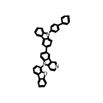 c1ccc(-c2ccc(-n3c4ccccc4c4cc(-c5ccc6c(c5)c5cnccc5n6-c5cccc6c5oc5ccccc56)ccc43)cc2)cc1